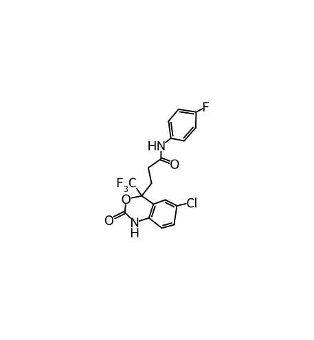 O=C(CCC1(C(F)(F)F)OC(=O)Nc2ccc(Cl)cc21)Nc1ccc(F)cc1